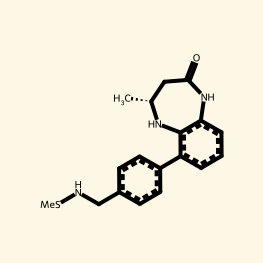 CSNCc1ccc(-c2cccc3c2N[C@H](C)CC(=O)N3)cc1